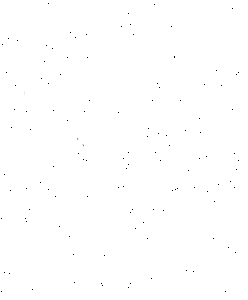 c1ccc(-c2ccccc2-c2ccc(N(C3=C4c5ccccc5OC4CCC3)c3ccc(-c4cccc5c4sc4ccccc45)cc3)cc2)cc1